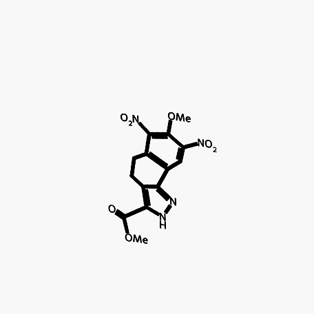 COC(=O)c1[nH]nc2c1CCc1c-2cc([N+](=O)[O-])c(OC)c1[N+](=O)[O-]